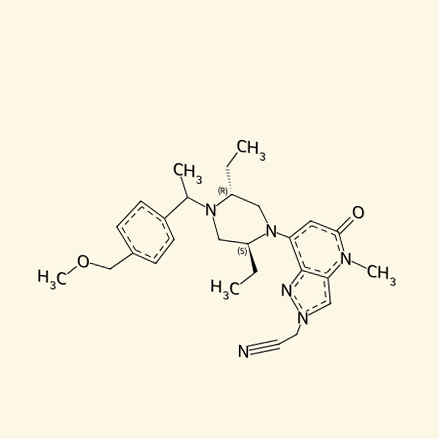 CC[C@H]1CN(C(C)c2ccc(COC)cc2)[C@H](CC)CN1c1cc(=O)n(C)c2cn(CC#N)nc12